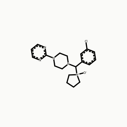 [O-][N+]1(C(c2cccc(Cl)c2)N2CCN(c3ncccn3)CC2)CCCC1